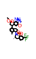 CCOC(=O)CC(c1cc(OC)c2c(c1)nnn2C)c1ccc(C)c2c1CCC2N1C[C@@H](C)Cc2ccc(C(F)(F)F)cc2S1(=O)=O